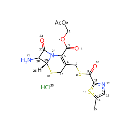 CC(=O)OCOC(=O)C1=C(CSC(=O)c2ncc(C)s2)CS[C@@H]2C(N)C(=O)N12.Cl